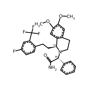 COc1cc2c(cc1OC)[C@H](CCc1ccc(F)cc1C(F)(F)F)N([C@@H](C(N)=O)c1ccccc1)CC2